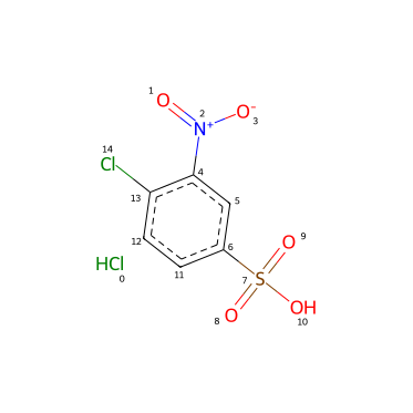 Cl.O=[N+]([O-])c1cc(S(=O)(=O)O)ccc1Cl